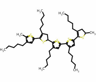 CCCCCC1=C(c2cc(CCCCC)c(C)s2)SC(c2sc(-c3sc(C4=C(CCCCC)CC(C)S4)cc3CCCCC)cc2CCCCC)C1